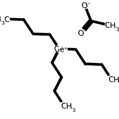 CC(=O)[O-].CCC[CH2][Ge+]([CH2]CCC)[CH2]CCC